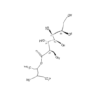 O=C(O)C(O)C(OC(=O)[C@H](O)[C@H](O)[C@H](O)[C@@H](O)[C@H](O)CO)C(=O)O